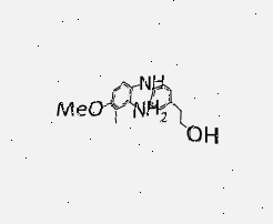 COc1ccc(Nc2ccc(CCO)cc2)c(N)c1C